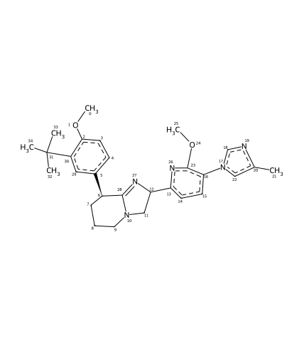 COc1ccc([C@@H]2CCCN3CC(c4ccc(-n5cnc(C)c5)c(OC)n4)N=C23)cc1C(C)(C)C